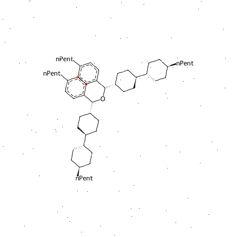 CCCCCc1ccc(C(OC(c2ccc(CCCCC)cc2)[C@H]2CC[C@H]([C@H]3CC[C@H](CCCCC)CC3)CC2)[C@H]2CC[C@H]([C@H]3CC[C@H](CCCCC)CC3)CC2)cc1